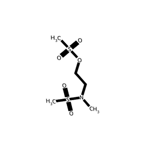 CN(CCOS(C)(=O)=O)S(C)(=O)=O